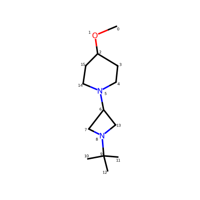 COC1CCN(C2CN(C(C)(C)C)C2)CC1